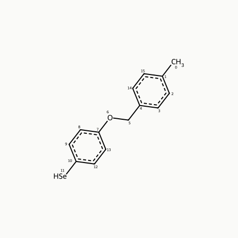 Cc1ccc(COc2ccc([SeH])cc2)cc1